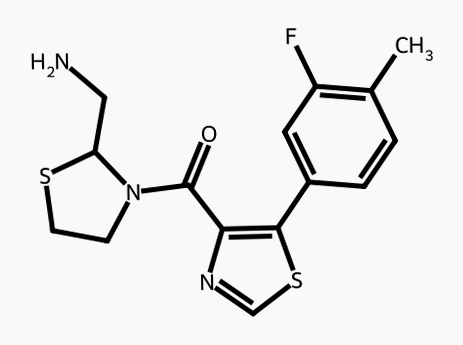 Cc1ccc(-c2scnc2C(=O)N2CCSC2CN)cc1F